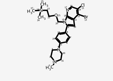 CN1CCN(c2ccc(-c3cc4c(Br)c(Cl)cnc4n3COCC[Si](C)(C)C)cc2)CC1